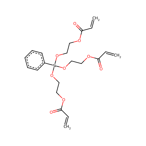 C=CC(=O)OCCO[Si](OCCOC(=O)C=C)(OCCOC(=O)C=C)c1ccccc1